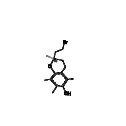 Cc1c(C)c2c(c(C)c1O)CC[C@](C)(CCBr)O2